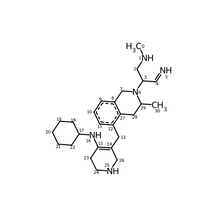 CNCC(C=N)N1Cc2cccc(CC3=C(NC4CCCCC4)CCNC3)c2CC1C